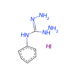 I.N/N=C(\NN)Nc1ccccc1